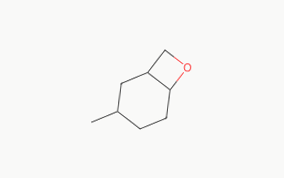 CC1CCC2OCC2C1